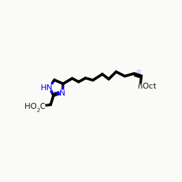 CCCCCCCC/C=C\CCCCCCCCC1CNC(CC(=O)O)=N1